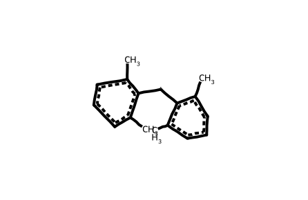 Cc1cccc(C)c1[CH]c1c(C)cccc1C